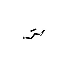 CI.COCCBr